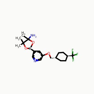 CC1(C)OB(c2cncc(OC[C@H]3CC[C@H](C(F)(F)F)CC3)c2)OC1(C)N